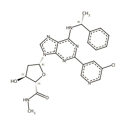 CNC(=O)[C@H]1O[C@@H](n2cnc3c(N[C@H](C)c4ccccc4)nc(-c4cncc(Cl)c4)nc32)C[C@@H]1O